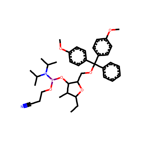 CCC1OC(COC(c2ccccc2)(c2ccc(OC)cc2)c2ccc(OC)cc2)C(OP(OCCC#N)N(C(C)C)C(C)C)C1C